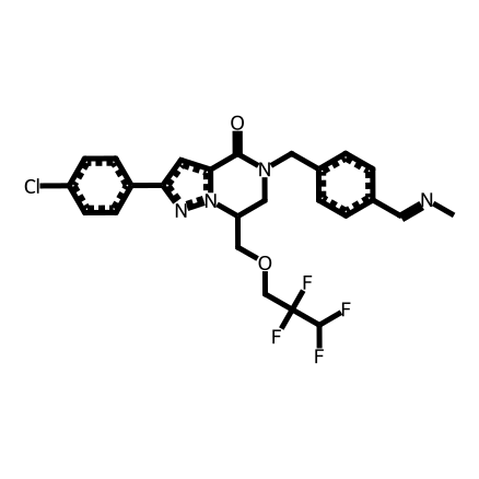 C/N=C/c1ccc(CN2CC(COCC(F)(F)C(F)F)n3nc(-c4ccc(Cl)cc4)cc3C2=O)cc1